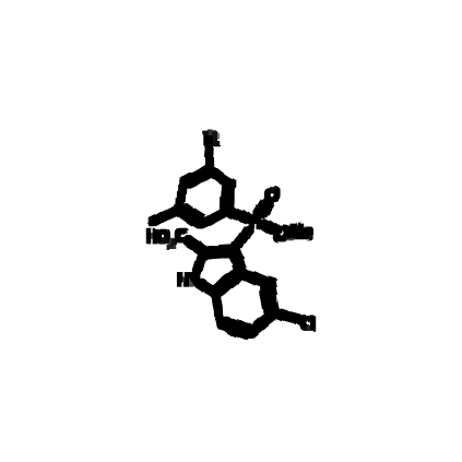 CCc1cc(C)cc(P(=O)(OC)c2c(C(=O)O)[nH]c3ccc(Cl)cc23)c1